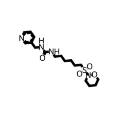 O=C(NCCCCCCS(=O)(=O)N1CCCCO1)NCc1cccnc1